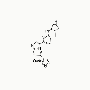 COc1cc2ncc(-c3cccc(N[C@H]4CNC[C@@H]4F)n3)n2cc1-c1cnn(C)c1